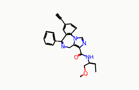 C#Cc1ccc2c(c1)C(c1ccccc1)=NCc1c(C(=O)NC(CC)COC)ncn1-2